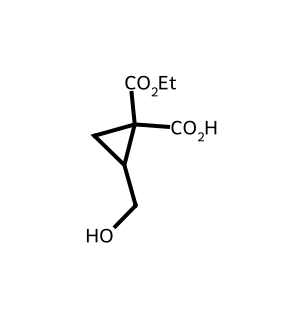 CCOC(=O)C1(C(=O)O)CC1CO